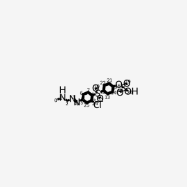 CNCN=Nc1ccc(S(=O)(=O)c2ccc(OS(=O)(=O)O)cc2)c(Cl)c1